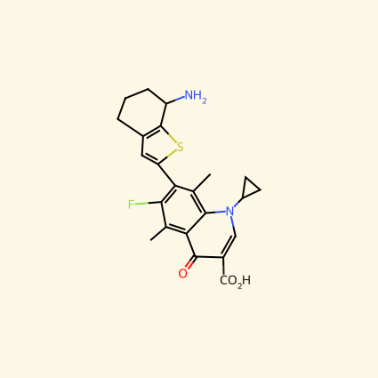 Cc1c(F)c(-c2cc3c(s2)C(N)CCC3)c(C)c2c1c(=O)c(C(=O)O)cn2C1CC1